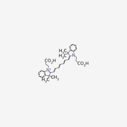 CC1(C)C(/C=C/C=C/C=C/C=C2/N(CCC(=O)O)c3ccccc3C2(C)C)=[N+](CCC(=O)O)c2ccccc21